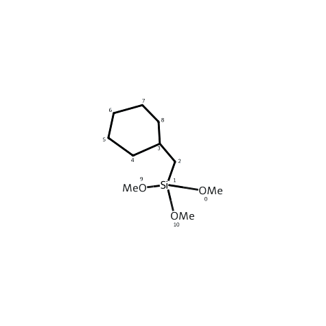 CO[Si](CC1CCCCC1)(OC)OC